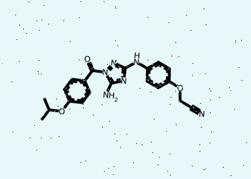 CC(C)Oc1ccc(C(=O)n2nc(Nc3ccc(OCC#N)cc3)nc2N)cc1